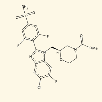 COC(=O)N1CCO[C@@H](Cn2c(-c3c(F)cc(S(N)(=O)=O)cc3F)nc3cc(Cl)c(F)cc32)C1